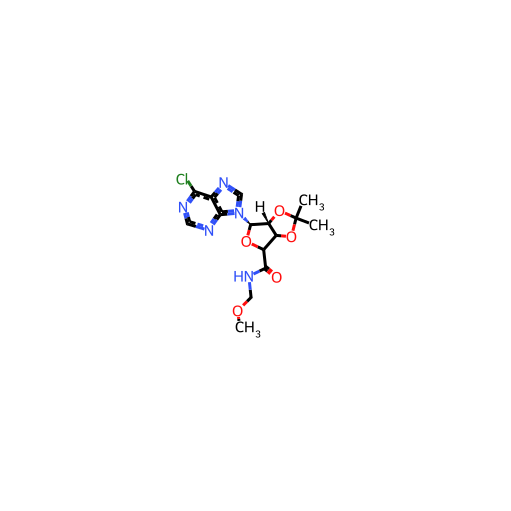 COCNC(=O)C1O[C@@H](n2cnc3c(Cl)ncnc32)[C@@H]2OC(C)(C)OC12